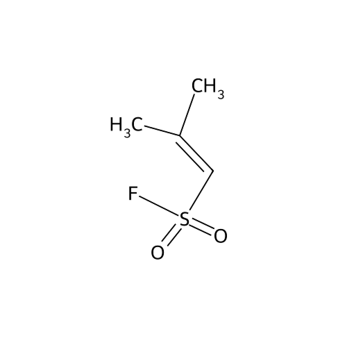 CC(C)=CS(=O)(=O)F